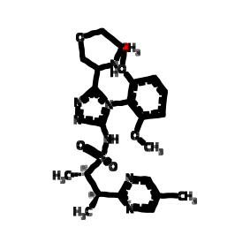 COc1cccc(OC)c1-n1c(NS(=O)(=O)[C@@H](C)[C@H](C)c2ncc(C)cn2)nnc1C1COCCN1